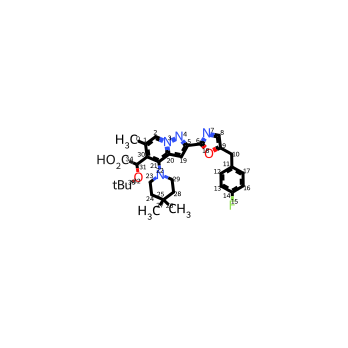 Cc1cn2nc(-c3ncc(Cc4ccc(F)cc4)o3)cc2c(N2CCC(C)(C)CC2)c1C(OC(C)(C)C)C(=O)O